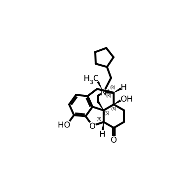 C[N@+]1(CC2CCCC2)CC[C@]23c4c5ccc(O)c4O[C@H]2C(=O)CC[C@@]3(O)[C@H]1C5